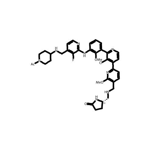 COc1nc(-c2ccnc(-c3cccc(Nc4nccc(CNC5CCN(C(C)=O)CC5)c4F)c3OC)c2Cl)ccc1CNC[C@@H]1CCC(=O)N1